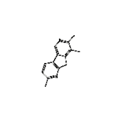 Cc1ccc2c(n1)Cc1c-2cnc(C)c1C